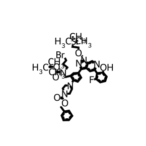 CC(C)(C)OC(=O)N(CCCBr)Cc1cc(-c2nn(COCC[Si](C)(C)C)c3cnc(-c4c(O)cccc4F)cc23)ccc1N1CCN(C(=O)OCc2ccccc2)CC1